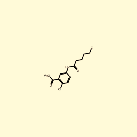 COC(=O)c1cc(NC(=O)CCCCCl)ncc1Cl